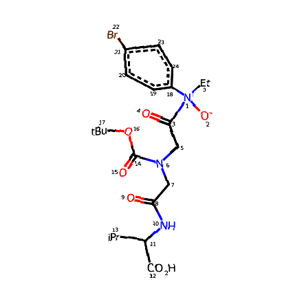 CC[N+]([O-])(C(=O)CN(CC(=O)NC(C(=O)O)C(C)C)C(=O)OC(C)(C)C)c1ccc(Br)cc1